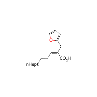 CCCCCCCCCC=C(Cc1ccco1)C(=O)O